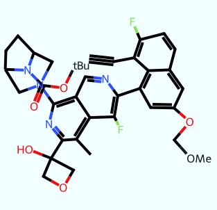 C#Cc1c(F)ccc2cc(OCOC)cc(-c3ncc4c(N5CC6CCC(C5)N6C(=O)OC(C)(C)C)nc(C5(O)COC5)c(C)c4c3F)c12